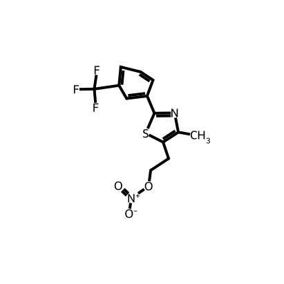 Cc1nc(-c2cccc(C(F)(F)F)c2)sc1CCO[N+](=O)[O-]